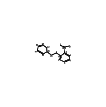 CN(C)c1ccccc1[CH]Cc1ccccc1